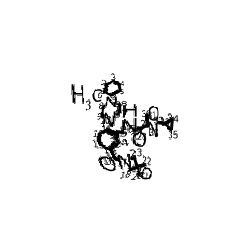 Cc1ccccc1N1CCN(c2ccc(C(=O)N3CC4(COC4)C3)cc2NC(=O)c2coc(C3CC3)n2)CC1